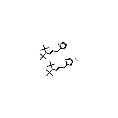 CC(C)(C)P(C=CCc1ccco1)C(C)(C)C.CC(C)(C)P(C=CCc1ccco1)C(C)(C)C.[Pd]